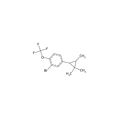 CC1C(c2ccc(OC(F)(F)F)c(Br)c2)C1(C)C